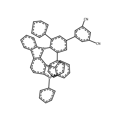 N#Cc1cc(C#N)cc(-c2cc(-c3ccccc3)c(-n3c4ccccc4c4ccc5c(c6ccccc6n5-c5ccccc5)c43)c(-c3ccccc3)c2)c1